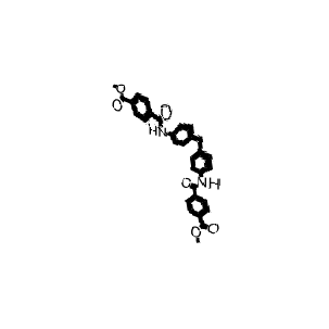 COC(=O)c1ccc(C(=O)Nc2ccc(Cc3ccc(NC(=O)c4ccc(C(=O)OC)cc4)cc3)cc2)cc1